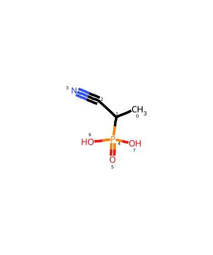 CC(C#N)P(=O)(O)O